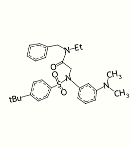 CCN(Cc1ccccc1)C(=O)CN(c1cccc(N(C)C)c1)S(=O)(=O)c1ccc(C(C)(C)C)cc1